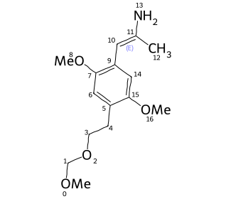 COCOCCc1cc(OC)c(/C=C(\C)N)cc1OC